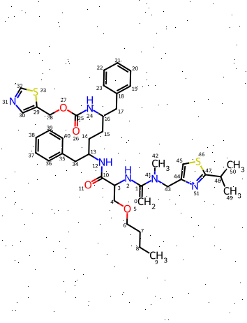 C=C(NC(COCCCC)C(=O)NC(CCC(Cc1ccccc1)NC(=O)OCc1cncs1)Cc1ccccc1)N(C)Cc1csc(C(C)C)n1